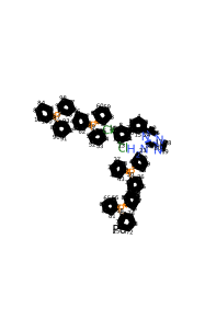 CC1(c2cccc(-c3cc(Cl)cc(Cl)c3)c2)Cn2ccnc2C(N)=N1.[Pd].c1ccc(P(c2ccccc2)c2ccccc2)cc1.c1ccc(P(c2ccccc2)c2ccccc2)cc1.c1ccc(P(c2ccccc2)c2ccccc2)cc1.c1ccc(P(c2ccccc2)c2ccccc2)cc1